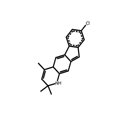 CC1=CC(C)(C)NC2=CC3=Cc4cc(Cl)ccc4C3=CC12